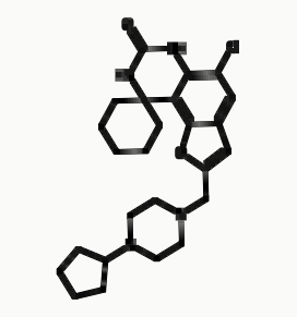 O=C1Nc2c(Cl)cc3cc(CN4CCN(C5CCCC5)CC4)oc3c2C2(CCCCC2)N1